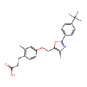 Cc1cc(OCc2oc(-c3ccc(C(F)(F)F)cc3)nc2C)ccc1CCC(=O)O